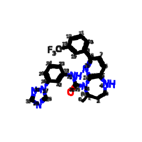 C[C@@H]1CCNc2ccc(-c3cccc(C(F)(F)F)c3)nc2N1C(=O)Nc1cccc(-n2cncn2)c1